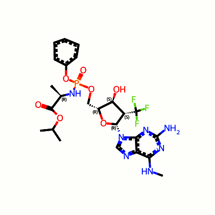 CNc1nc(N)nc2c1ncn2[C@@H]1O[C@H](COP(=O)(N[C@H](C)C(=O)OC(C)C)Oc2ccccc2)[C@@H](O)[C@@H]1C(F)(F)F